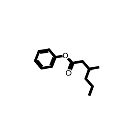 CCCC(C)CC(=O)Oc1ccccc1